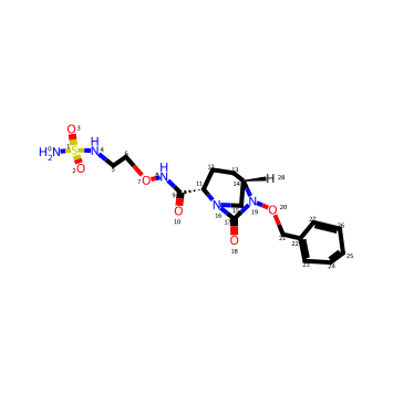 NS(=O)(=O)NCCONC(=O)[C@@H]1CC[C@H]2CN1C(=O)N2OCc1ccccc1